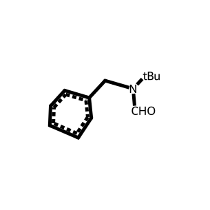 CC(C)(C)N(C=O)Cc1ccccc1